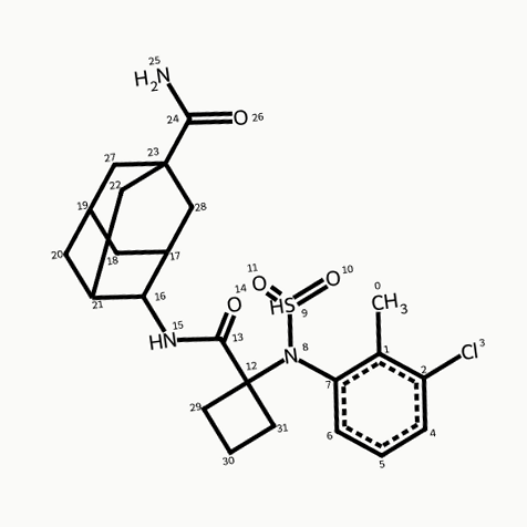 Cc1c(Cl)cccc1N([SH](=O)=O)C1(C(=O)NC2C3CC4CC2CC(C(N)=O)(C4)C3)CCC1